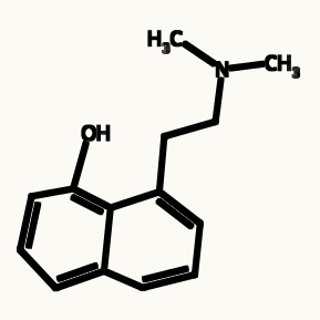 CN(C)CCc1cccc2cccc(O)c12